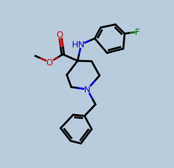 COC(=O)C1(Nc2ccc(F)cc2)CCN(Cc2ccccc2)CC1